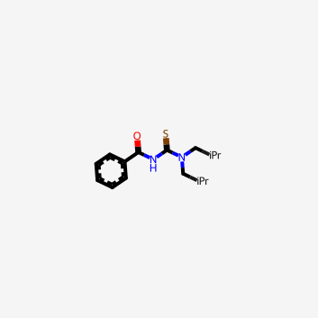 CC(C)CN(CC(C)C)C(=S)NC(=O)c1ccccc1